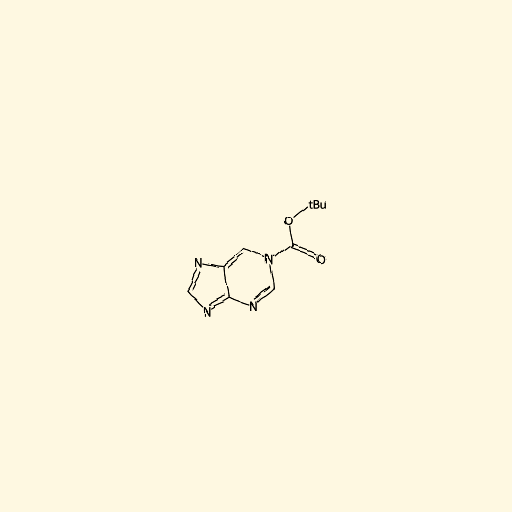 CC(C)(C)OC(=O)n1cnc2ncnc-2c1